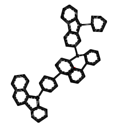 c1ccc(-c2ccccc2N(c2ccc(-c3ccc(-n4c5ccccc5c5ccc6ccccc6c54)cc3)cc2)c2ccc3c4ccccc4n(-c4ccccc4)c3c2)cc1